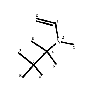 C=CN(C)C(C)(C)C(C)(C)C